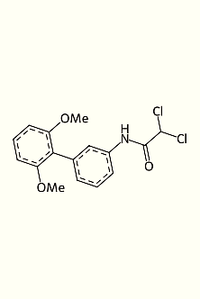 COc1cccc(OC)c1-c1cccc(NC(=O)C(Cl)Cl)c1